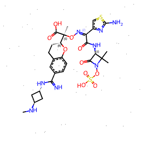 CN[C@H]1C[C@H](NC(=N)c2ccc3c(c2)CC[C@H]([C@](C)(O/N=C(\C(=O)N[C@@H]2C(=O)N(OS(=O)(=O)O)C2(C)C)c2csc(N)n2)C(=O)O)O3)C1